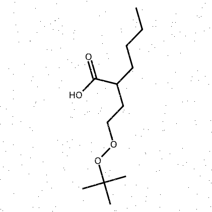 CCCCC(CCOOC(C)(C)C)C(=O)O